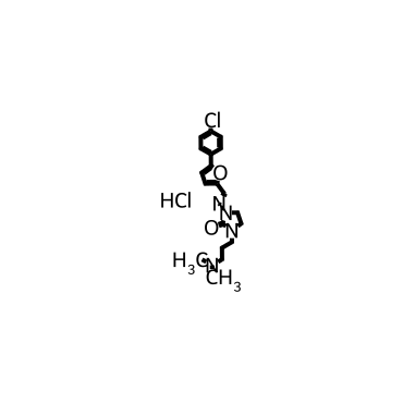 CN(C)CCCN1CCN(/N=C/c2ccc(-c3ccc(Cl)cc3)o2)C1=O.Cl